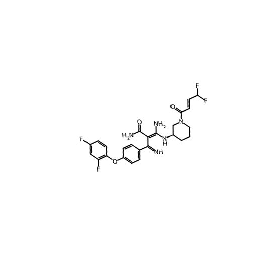 N=C(/C(C(N)=O)=C(/N)N[C@@H]1CCCN(C(=O)/C=C/C(F)F)C1)c1ccc(Oc2ccc(F)cc2F)cc1